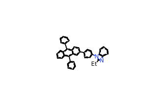 CCc1nc2ccccc2n1-c1ccc(-c2ccc3c(-c4ccccc4)c4ccccc4c(-c4ccccc4)c3c2)cc1